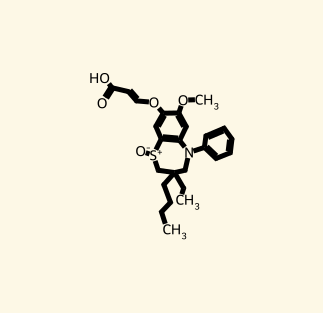 CCCCC1(CC)CN(c2ccccc2)c2cc(OC)c(O/C=C/C(=O)O)cc2[S+]([O-])C1